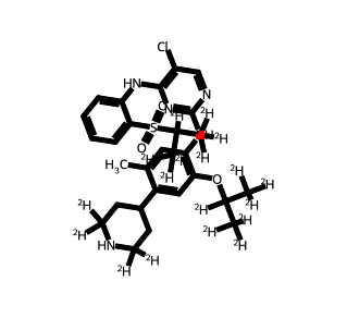 [2H]C1([2H])CC(c2cc(OC([2H])(C([2H])([2H])[2H])C([2H])([2H])[2H])c(Nc3ncc(Cl)c(Nc4ccccc4S(=O)(=O)C([2H])(C([2H])([2H])[2H])C([2H])([2H])[2H])n3)cc2C)CC([2H])([2H])N1